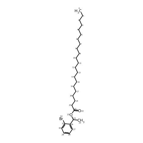 CCCCCCCCCCCCCCCCCCCCCC(=O)OC(C)c1ccccc1Br